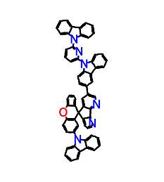 c1cc(-n2c3ccccc3c3ccccc32)nc(-n2c3ccccc3c3cc(-c4cnc5c(c4)C4(c6ccccc6Oc6ccc(-n7c8ccccc8c8ccccc87)cc64)c4cccnc4-5)ccc32)c1